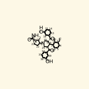 Cc1c(F)cccc1C1[C@@H](C(=O)c2cccc(O)c2)CN(C2CCN(C(N)=O)C2)C[C@@H]1C(=O)c1cccc(O)c1